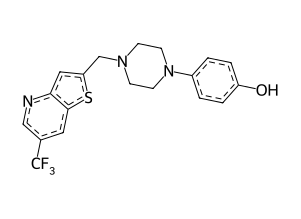 Oc1ccc(N2CCN(Cc3cc4ncc(C(F)(F)F)cc4s3)CC2)cc1